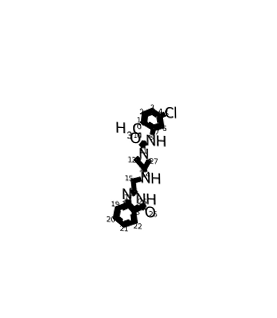 Cc1ccc(Cl)cc1NC(=O)N1CC(NCc2nc3ccccc3c(=O)[nH]2)C1